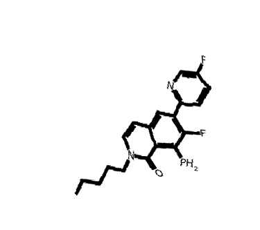 CCCCCn1ccc2cc(-c3ccc(F)cn3)c(F)c(P)c2c1=O